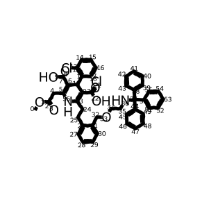 COC(=O)CC1=C(C(=O)O)C(c2c(Cl)cccc2Cl)C(C(=O)O)=C(CCc2ccccc2COCCNC(c2ccccc2)(c2ccccc2)c2ccccc2)N1